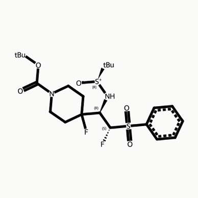 CC(C)(C)OC(=O)N1CCC(F)([C@@H](N[S@@+]([O-])C(C)(C)C)[C@@H](F)S(=O)(=O)c2ccccc2)CC1